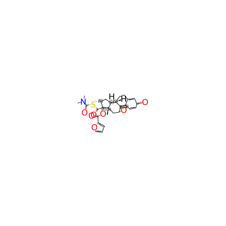 C[C@@H]1C[C@H]2[C@@H]3CCC4=CC(=O)C=C[C@]4(C)[C@]34OC4C[C@]2(C)[C@@]1(OC(=O)c1ccco1)C(=O)SC(=O)N(C)C